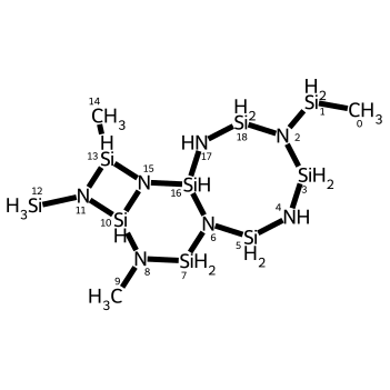 C[SiH2]N1[SiH2]N[SiH2]N2[SiH2]N(C)[SiH]3N([SiH3])[SiH](C)N3[SiH]2N[SiH2]1